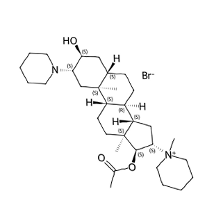 CC(=O)O[C@@H]1[C@@H]([N+]2(C)CCCCC2)C[C@H]2[C@@H]3CC[C@H]4C[C@H](O)[C@@H](N5CCCCC5)C[C@]4(C)[C@H]3CC[C@]12C.[Br-]